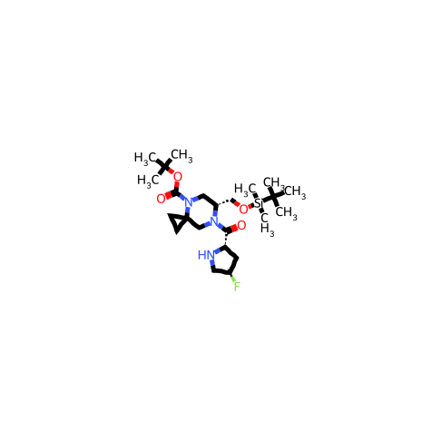 CC(C)(C)OC(=O)N1C[C@H](CO[Si](C)(C)C(C)(C)C)N(C(=O)[C@@H]2C[C@@H](F)CN2)CC12CC2